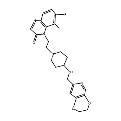 O=c1cnc2ccc(F)c(F)c2n1CCN1CCC(NCc2cc3c(cn2)OCCO3)CC1